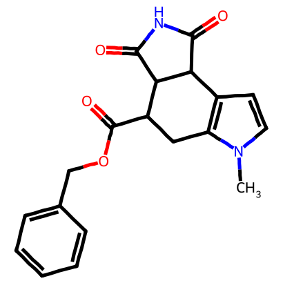 Cn1ccc2c1CC(C(=O)OCc1ccccc1)C1C(=O)NC(=O)C21